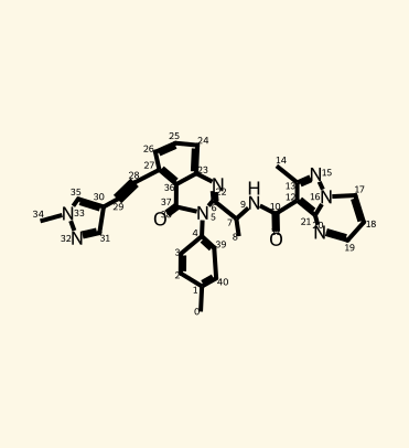 Cc1ccc(-n2c(C(C)NC(=O)c3c(C)nn4cccnc34)nc3cccc(C#Cc4cnn(C)c4)c3c2=O)cc1